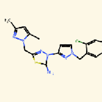 Cc1cc(C(F)(F)F)nn1CC1=NN(c2ccn(Cc3ccccc3Cl)n2)C(N)S1